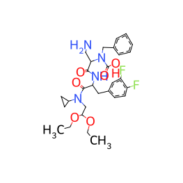 CCOC(CN(C(=O)C(Cc1ccc(F)c(F)c1)NC(=O)C(CN)N(Cc1ccccc1)C(=O)O)C1CC1)OCC